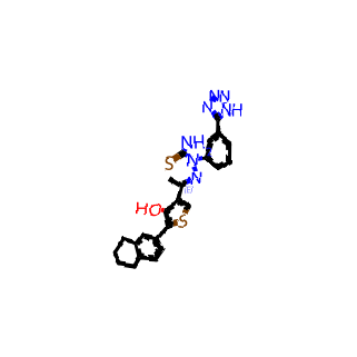 C/C(=N\N(C(N)=S)c1cccc(-c2nnn[nH]2)c1)c1csc(-c2ccc3c(c2)CCCC3)c1O